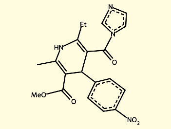 CCC1=C(C(=O)n2ccnc2)C(c2ccc([N+](=O)[O-])cc2)C(C(=O)OC)=C(C)N1